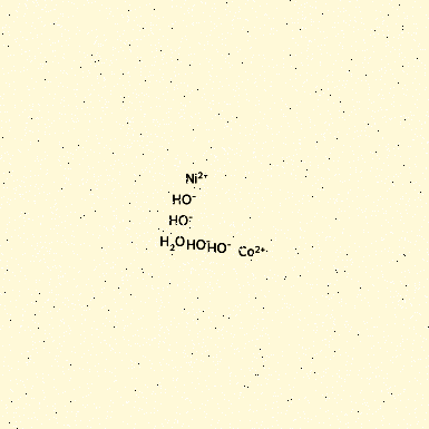 O.[Co+2].[Ni+2].[OH-].[OH-].[OH-].[OH-]